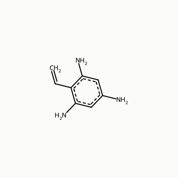 C=Cc1c(N)cc(N)cc1N